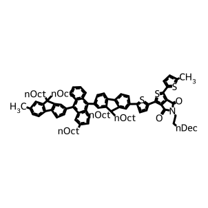 CCCCCCCCCCCCN1C(=O)c2c(-c3ccc(C)s3)sc(-c3ccc(-c4ccc5c(c4)C(CCCCCCCC)(CCCCCCCC)c4cc(-c6c7ccccc7c(-c7ccc8c(c7)C(CCCCCCCC)(CCCCCCCC)c7cc(C)ccc7-8)c7cc(CCCCCCCC)ccc67)ccc4-5)s3)c2C1=O